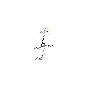 COCCOCOc1c(OC)cc(C=CC=CC(=O)N2CCSC2=S)cc1OC